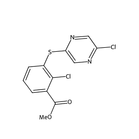 COC(=O)c1cccc(Sc2cnc(Cl)cn2)c1Cl